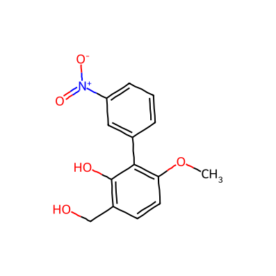 COc1ccc(CO)c(O)c1-c1cccc([N+](=O)[O-])c1